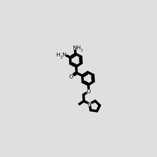 CC(COc1cccc(C(=O)c2ccc(N)c(N)c2)c1)N1CCCC1